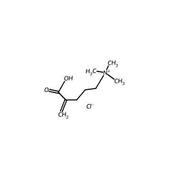 C=C(CCC[N+](C)(C)C)C(=O)O.[Cl-]